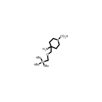 CCC[CH2][Sn]([CH2]CCC)([CH2]CCC)[CH2]OCC1(N)CCN(C(=O)O)CC1